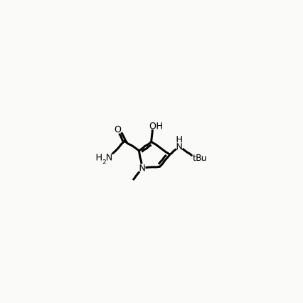 Cn1cc(NC(C)(C)C)c(O)c1C(N)=O